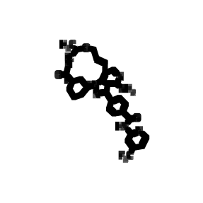 C[C@@H]1CNC(=O)[C@@H]2CCC[C@H](C2)n2nc(-c3ccc(C(=O)Nc4cc(C(F)(F)F)ccn4)cc3)c3c(N)ncc(c32)/C=C/CO1